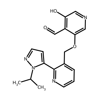 CC(C)n1nccc1-c1ncccc1COc1cncc(O)c1C=O